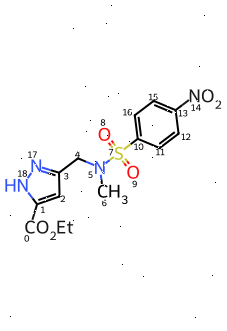 CCOC(=O)c1cc(CN(C)S(=O)(=O)c2ccc([N+](=O)[O-])cc2)n[nH]1